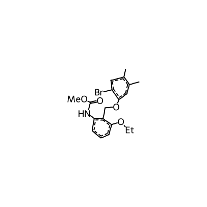 CCOc1cccc(NC(=O)OC)c1COc1cc(C)c(C)cc1Br